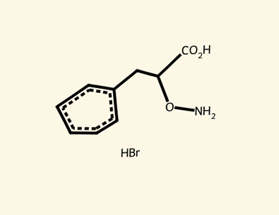 Br.NOC(Cc1ccccc1)C(=O)O